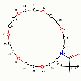 CCC(C)(C)C(=O)N1CCOCCOCCOCCOCCOCCOCC1